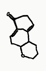 O=C1CC=C2C1=CCC1OCCCC21